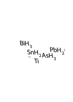 [AsH3].[BiH3].[PbH2].[SnH2].[Ti]